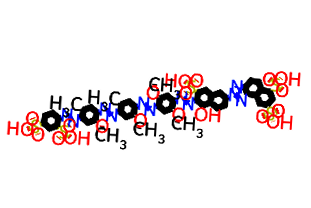 COc1cc(N=Nc2ccc(S(=O)(=O)O)cc2S(=O)(=O)O)c(C)cc1N=Nc1cc(OC)c(N=Nc2cc(OC)c(N=Nc3c(S(=O)(=O)O)cc4cc(-n5nc6ccc7c(S(=O)(=O)O)cc(S(=O)(=O)O)cc7c6n5)ccc4c3O)cc2OC)cc1C